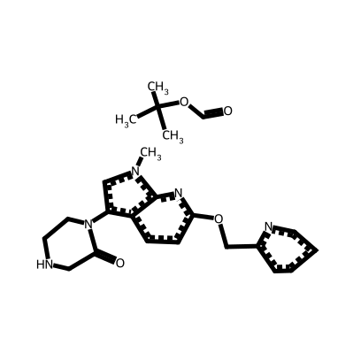 CC(C)(C)OC=O.Cn1cc(N2CCNCC2=O)c2ccc(OCc3ccccn3)nc21